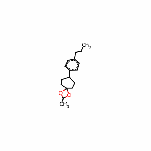 CCCc1ccc(C2CCC3(CC2)OC(C)O3)cc1